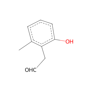 Cc1cccc(O)c1CC=O